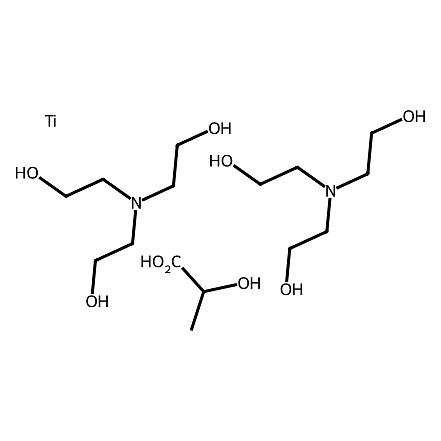 CC(O)C(=O)O.OCCN(CCO)CCO.OCCN(CCO)CCO.[Ti]